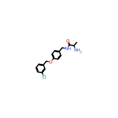 CC(N)C(=O)NCc1ccc(OCc2cccc(Cl)c2)cc1